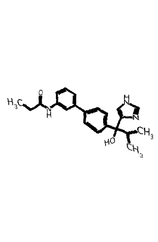 CCC(=O)Nc1cccc(-c2ccc(C(O)(c3c[nH]cn3)C(C)C)cc2)c1